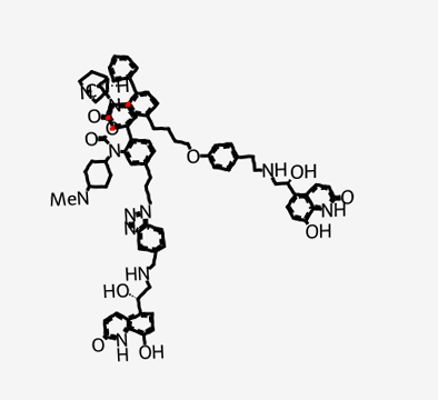 CNC1CCC(N(C(=O)OC(=O)N(c2cc(CCCCOc3ccc(CCNC[C@@H](O)c4ccc(O)c5[nH]c(=O)ccc45)cc3)ccc2-c2ccccc2)[C@H]2CN3CCC2CC3)c2cc(CCCn3nnc4cc(CNC[C@@H](O)c5ccc(O)c6[nH]c(=O)ccc56)ccc43)ccc2-c2ccccc2)CC1